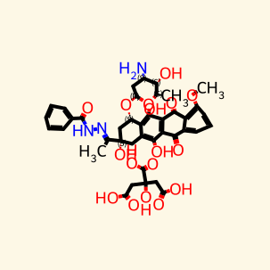 COc1cccc2c1C(=O)c1c(O)c3c(c(O)c1C2=O)C[C@@](O)(C(C)=NNC(=O)c1ccccc1)C[C@@H]3O[C@H]1C[C@H](N)[C@H](O)[C@H](C)O1.O=C(O)CC(O)(CC(=O)O)C(=O)O